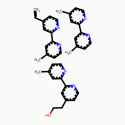 C=Cc1ccnc(-c2cc(C)ccn2)c1.Cc1ccnc(-c2cc(C)ccn2)c1.Cc1ccnc(-c2cc(CCO)ccn2)c1